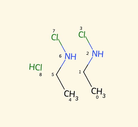 CCNCl.CCNCl.Cl